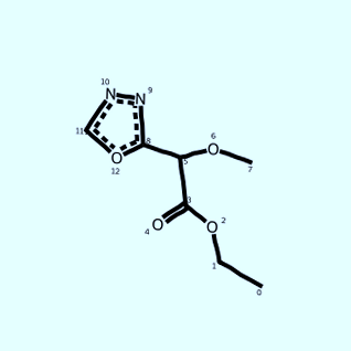 CCOC(=O)C(OC)c1nn[c]o1